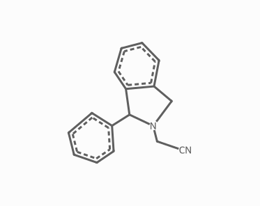 N#CCN1Cc2ccccc2C1c1ccccc1